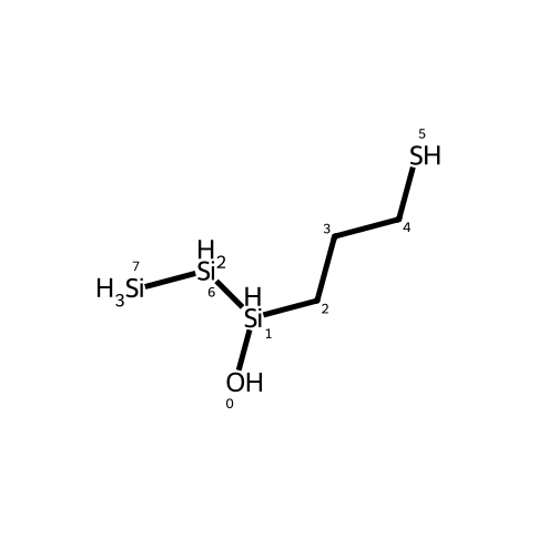 O[SiH](CCCS)[SiH2][SiH3]